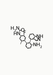 Cc1cc(NC(N)=O)c(F)cc1-c1cccc(N)c1-c1cccc2[nH]ncc12